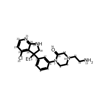 CCC1(c2cccc(N3CCN(CCN)CC3=O)c2)CNc2nccc(Cl)c21